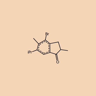 Cc1c(C(C)C)cc2c(c1Br)CC(C)C2=O